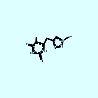 Cc1c(Cc2cn(C(C)C)nn2)[nH]c(=O)[nH]c1=O